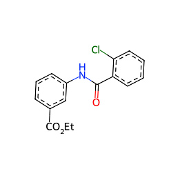 CCOC(=O)c1cccc(NC(=O)c2ccccc2Cl)c1